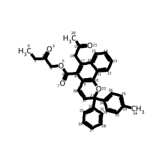 CCC(=O)COC(=O)c1c2c(c3ccccc3c1CC(C)=O)OC(c1ccccc1)(c1ccc(C)cc1)C=C2